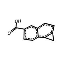 O=C(O)c1ccc2c3c(ccc2c1)C3